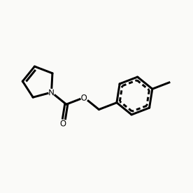 Cc1ccc(COC(=O)N2CC=CC2)cc1